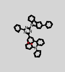 c1ccc(-c2ccc3c(c2)c2ccccc2n3-c2nc(-c3ccccc3)nc(-c3cccc(-c4ccccc4N(c4ccccc4)c4ccccc4)c3)n2)cc1